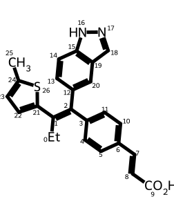 CCC(=C(c1ccc(C=CC(=O)O)cc1)c1ccc2[nH]ncc2c1)c1ccc(C)s1